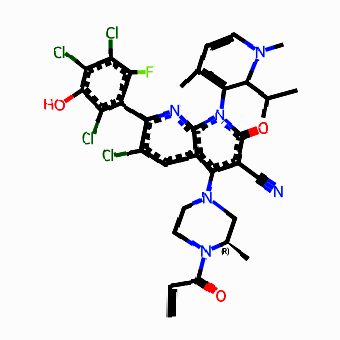 C=CC(=O)N1CCN(c2c(C#N)c(=O)n(C3=C(C)C=CN(C)C3C(C)C)c3nc(-c4c(F)c(Cl)c(Cl)c(O)c4Cl)c(Cl)cc23)C[C@H]1C